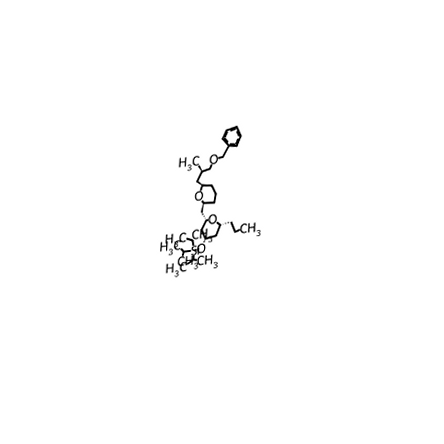 CCC[C@@H]1C[C@H](O[Si](C(C)C)(C(C)C)C(C)C)C[C@H](C[C@@H]2CCC[C@H](C[C@@H](C)COCc3ccccc3)O2)O1